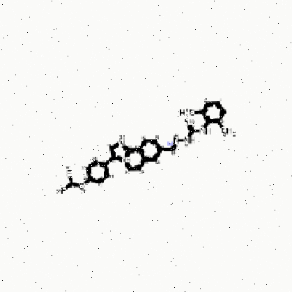 Cc1cccc(C)c1NC(=S)N/N=C/c1ccc2c(ccn3c(-c4ccc(OC(F)F)cc4)cnc23)c1